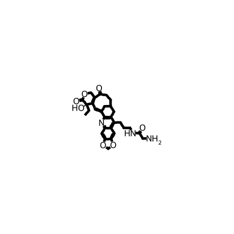 CC[C@@]1(O)C(=O)OCC2=C1/C=C1\CC(CCC2=O)Cc2c1nc1cc3c(cc1c2CCCNC(=O)CN)OCO3